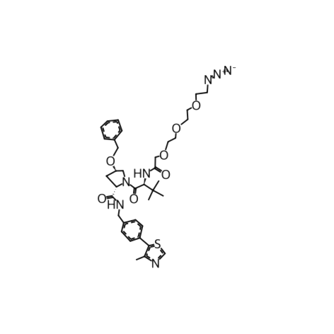 Cc1ncsc1-c1ccc(CNC(=O)[C@@H]2C[C@@H](OCc3ccccc3)CN2C(=O)[C@@H](NC(=O)COCCOCCOCCN=[N+]=[N-])C(C)(C)C)cc1